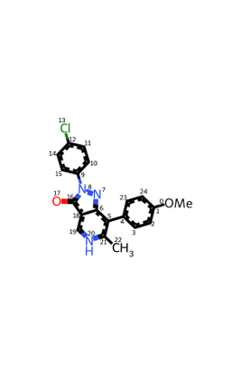 COc1ccc(-c2c3nn(-c4ccc(Cl)cc4)c(=O)c-3c[nH]c2C)cc1